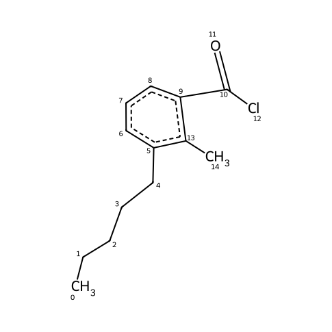 CCCCCc1cccc(C(=O)Cl)c1C